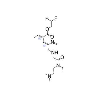 C=N/C(=C\C(=C/C)C(=O)OCC(F)F)CNCC(=O)N(CC)CCN(C)C